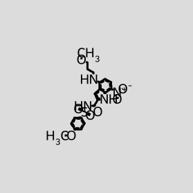 COCCCNc1ccc([N+](=O)[O-])c2[nH]c(C(=O)NS(=O)(=O)c3ccc(OC)cc3)cc12